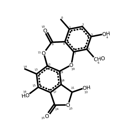 Cc1cc(O)c(C=O)c2c1C(=O)Oc1c(C)c(O)c3c(c1O2)C(O)OC3=O